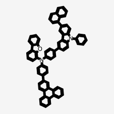 c1ccc(-n2c3ccc(-c4ccc(N(c5ccc(-c6ccc7c8ccccc8c8ccccc8c7c6)cc5)c5cccc6c5oc5ccccc56)cc4)cc3c3cc(-c4cccc5ccccc45)ccc32)cc1